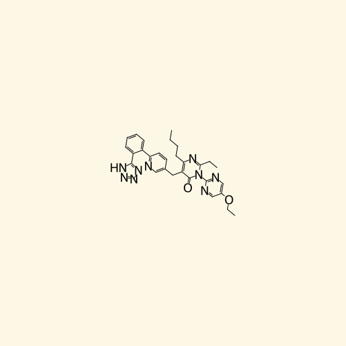 CCCCc1nc(CC)n(-c2ncc(OCC)cn2)c(=O)c1Cc1ccc(-c2ccccc2-c2nnn[nH]2)nc1